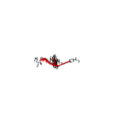 CCCCCCCCCCCCCCCCCCCCCCCC(=O)O[C@H](COC(=O)CCCCCCCCCCCCCCCCCCCCC)COP(=O)(O)OC[C@H](N)C(=O)O